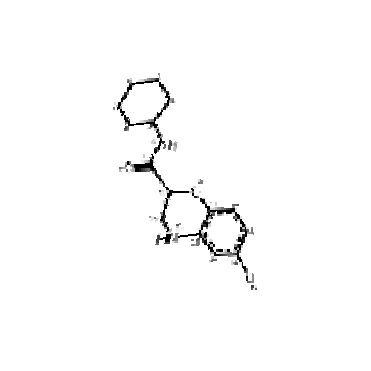 O=C(NC1CCCCC1)[C@@H]1CNc2cc(Cl)ccc2O1